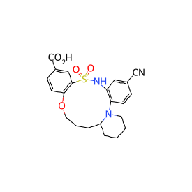 N#Cc1ccc2c(c1)NS(=O)(=O)c1cc(C(=O)O)ccc1OCCCC1CCCCN21